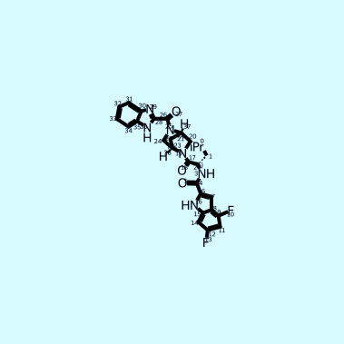 CC(C)C[C@H](NC(=O)c1cc2c(F)cc(F)cc2[nH]1)C(=O)N1C[C@@H]2C[C@H]1CN2C(=O)c1nc2ccccc2[nH]1